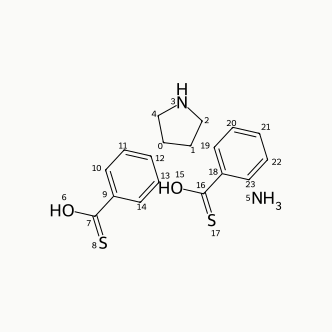 C1CCNC1.N.OC(=S)c1ccccc1.OC(=S)c1ccccc1